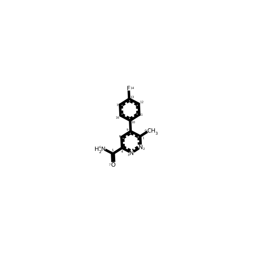 Cc1nnc(C(N)=O)cc1-c1ccc(F)cc1